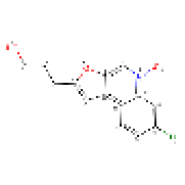 [O-][n+]1cc2oc(CCCO)cc2c2ccc(Br)cc21